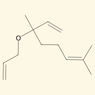 C=CCOC(C)(C=C)CCC=C(C)C